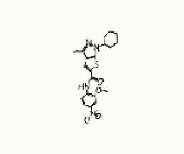 COc1cc([N+](=O)[O-])ccc1NC(=O)c1cc2c(C)nn(C3CCCCC3)c2s1